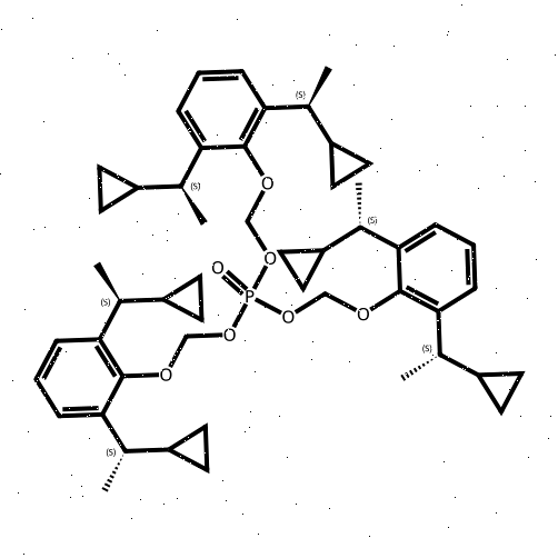 C[C@H](c1cccc([C@@H](C)C2CC2)c1OCOP(=O)(OCOc1c([C@@H](C)C2CC2)cccc1[C@@H](C)C1CC1)OCOc1c([C@@H](C)C2CC2)cccc1[C@@H](C)C1CC1)C1CC1